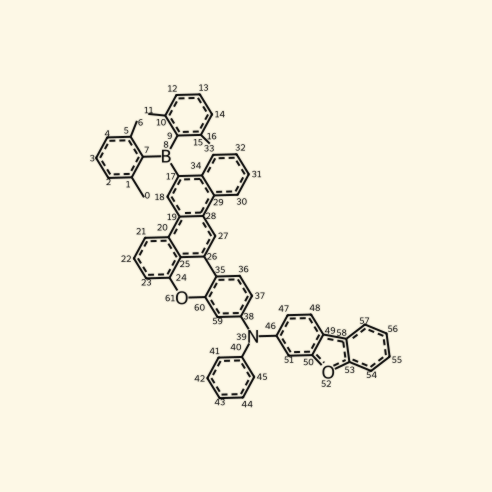 Cc1cccc(C)c1B(c1c(C)cccc1C)c1cc2c3cccc4c3c(cc2c2ccccc12)-c1ccc(N(c2ccccc2)c2ccc3c(c2)oc2ccccc23)cc1O4